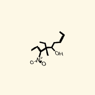 C/C=C\CC(O)C(C)(CC)C(CC)[N+](=O)[O-]